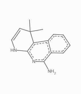 CC1(C)C=CNc2nc(N)c3ccccc3c21